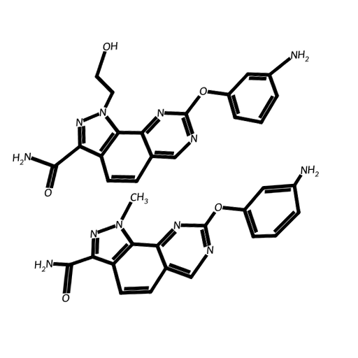 Cn1nc(C(N)=O)c2ccc3cnc(Oc4cccc(N)c4)nc3c21.NC(=O)c1nn(CCO)c2c1ccc1cnc(Oc3cccc(N)c3)nc12